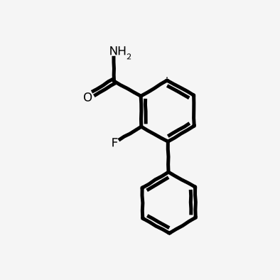 NC(=O)c1[c]ccc(-c2ccccc2)c1F